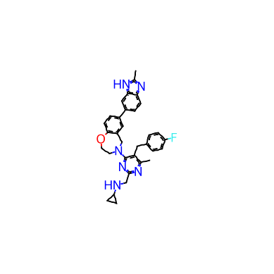 Cc1nc2ccc(-c3ccc4c(c3)CN(c3nc(CNC5CC5)nc(C)c3Cc3ccc(F)cc3)CCO4)cc2[nH]1